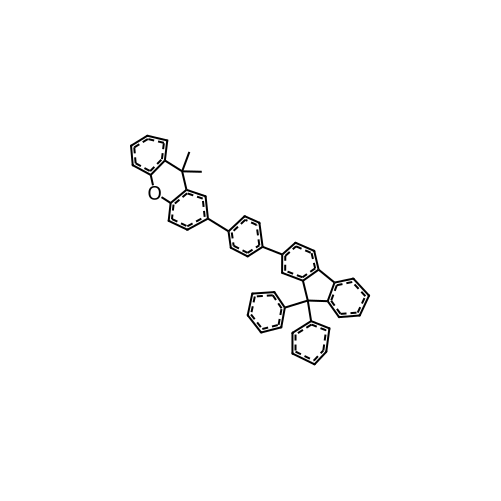 CC1(C)c2ccccc2Oc2ccc(-c3ccc(-c4ccc5c(c4)C(c4ccccc4)(c4ccccc4)c4ccccc4-5)cc3)cc21